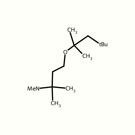 CNC(C)(C)CCOC(C)(C)CC(C)(C)C